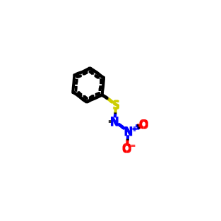 O=[N+]([O-])[N]Sc1ccccc1